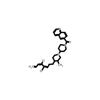 C=C/C=C(Cl)\C(Cl)=C/CCC1CCN(C2CCN(C(=O)c3ccc4ncccc4c3)CC2)CC1C